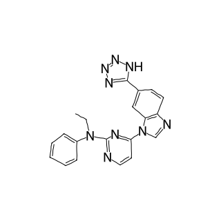 CCN(c1ccccc1)c1nccc(-n2cnc3ccc(-c4nnn[nH]4)cc32)n1